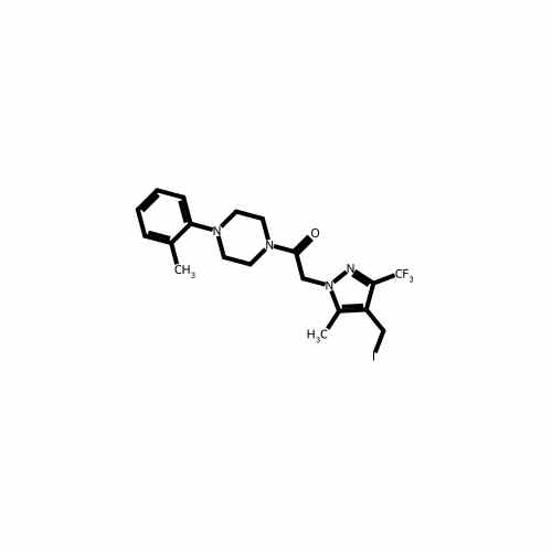 Cc1ccccc1N1CCN(C(=O)Cn2nc(C(F)(F)F)c(CI)c2C)CC1